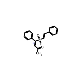 CC(=O)/C=C(/c1ccccc1)S(=O)(=O)C=Cc1ccccc1